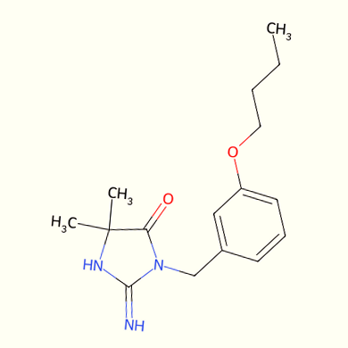 CCCCOc1cccc(CN2C(=N)NC(C)(C)C2=O)c1